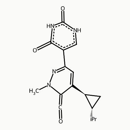 CC(C)[C@H]1C[C@@H]1C1=CC(c2c[nH]c(=O)[nH]c2=O)=NN(C)C1=C=O